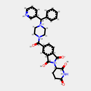 O=C1CCC(N2C(=O)c3ccc(C(=O)N4CCN(C(c5ccccc5)c5cccnc5)CC4)cc3C2=O)C(=O)N1